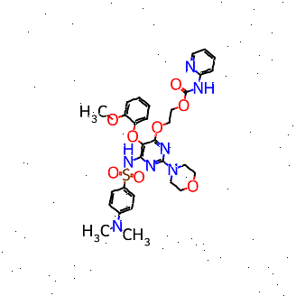 COc1ccccc1Oc1c(NS(=O)(=O)c2ccc(N(C)C)cc2)nc(N2CCOCC2)nc1OCCOC(=O)Nc1ccccn1